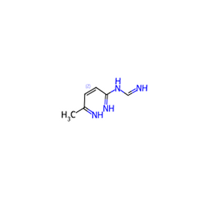 CC(=N)/C=C\C(=N)NC=N